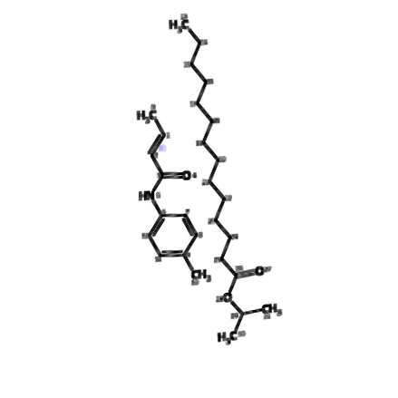 C/C=C/C(=O)Nc1ccc(C)cc1.CCCCCCCCCCCCCC(=O)OC(C)C